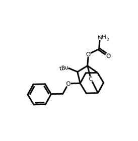 CC(C)(C)C1C2(OCc3ccccc3)CC3CC(C2)C1(OC(N)=O)C3